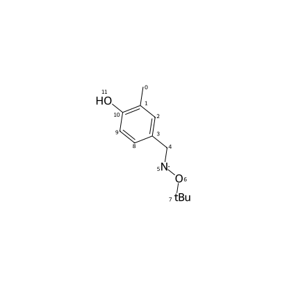 Cc1cc(C[N]OC(C)(C)C)ccc1O